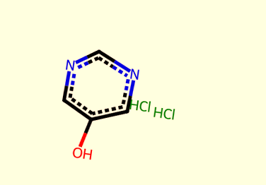 Cl.Cl.Oc1cncnc1